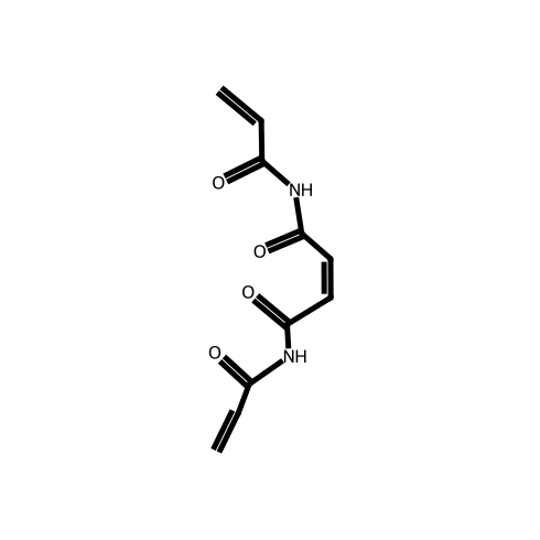 C=CC(=O)NC(=O)/C=C\C(=O)NC(=O)C=C